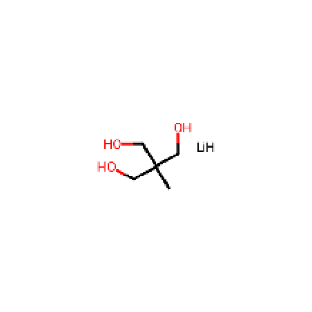 CC(CO)(CO)CO.[LiH]